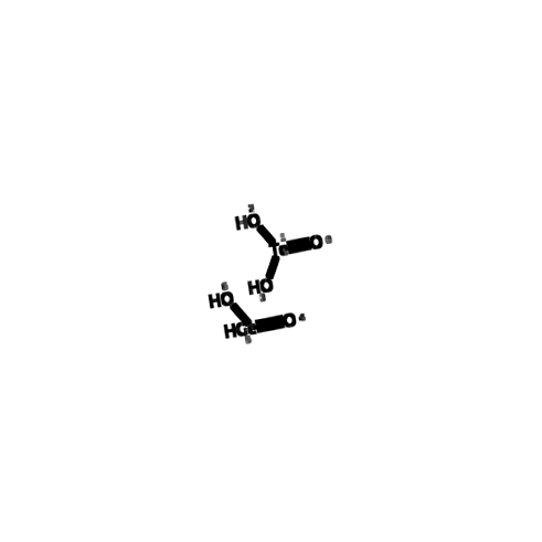 O=[Te](O)O.[O]=[GeH][OH]